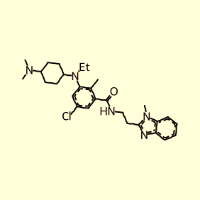 CCN(c1cc(Cl)cc(C(=O)NCCc2nc3ccccc3n2C)c1C)C1CCC(N(C)C)CC1